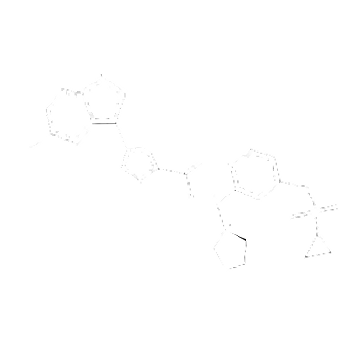 O=C(N[C@H](c1cc(NS(=O)(=O)C2CC2)ccn1)[C@H]1CCOC1)c1ncc(-c2cnn3ccc(Cl)cc23)s1